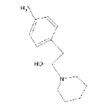 Nc1ccc(CC(O)N2CCCCC2)cc1